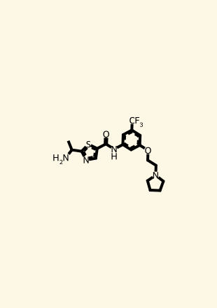 CC(N)c1ncc(C(=O)Nc2cc(OCCN3CCCC3)cc(C(F)(F)F)c2)s1